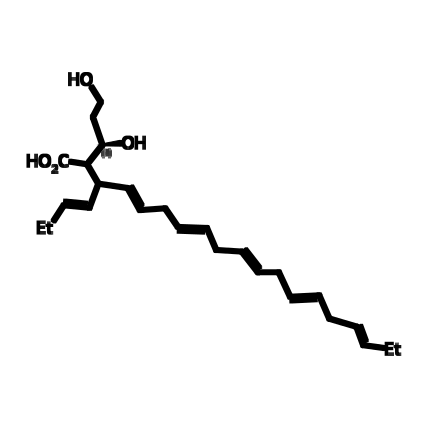 CCC=CCC=CCC=CCC=CCC=CC(C=CCC)C(C(=O)O)[C@H](O)CCO